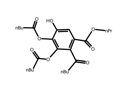 CCCCC(=O)Oc1c(O)cc(C(=O)OCCC)c(C(=O)CCCC)c1OC(=O)CCCC